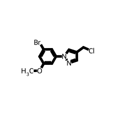 COc1cc(Br)cc(-n2cc(CCl)cn2)c1